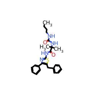 CCCCNC(=O)NC(C)(C)C(=O)Nc1nc(-c2ccccc2)c(Cc2ccccc2)s1